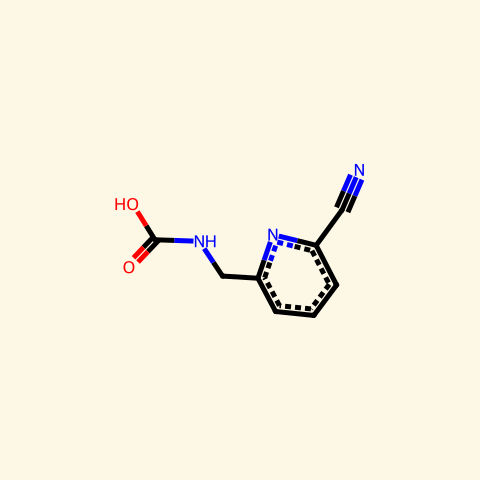 N#Cc1cccc(CNC(=O)O)n1